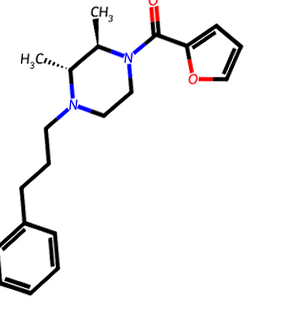 C[C@@H]1[C@@H](C)N(C(=O)c2ccco2)CCN1CCCc1ccccc1